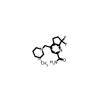 C[C@@H]1CCCN(Cc2cc(C(N)=O)nc3c2CCC3(F)F)C1